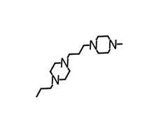 CCCN1CCN(CCCN2CCN(C)CC2)CC1